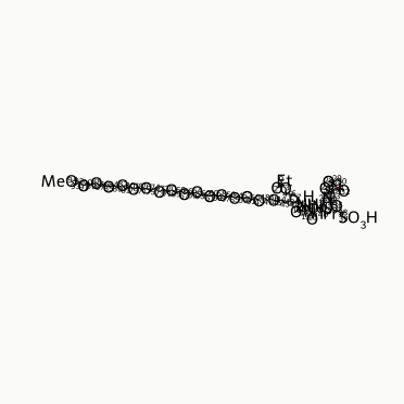 CCC(=O)OCc1ccc(NC(=O)[C@H](C)NC(=O)[C@@H](NC(=O)CN2C(=O)[C@@H](N3C(=O)C=CC3=O)C[C@H]2COCCS(=O)(=O)O)C(C)C)cc1/C=C/COCCOCCOCCOCCOCCOCCOCCOCCOCCOCCOCCOCCOCCOCCOCCOCCOC